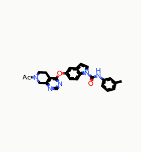 CC(=O)N1CCc2c(ncnc2Oc2ccc3c(ccn3C(=O)Nc3cccc(C)c3)c2)C1